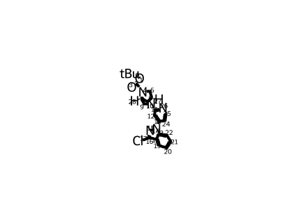 CC(C)(C)OC(=O)N1C[C@@H]2C[C@H]1CN2c1cc(-n2nc(Cl)c3ccccc32)ccn1